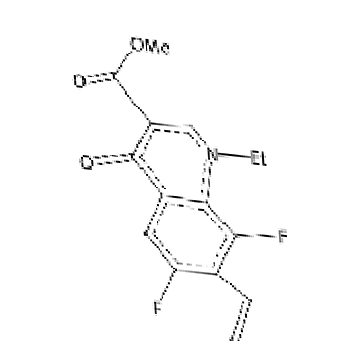 C=Cc1c(F)cc2c(=O)c(C(=O)OC)cn(CC)c2c1F